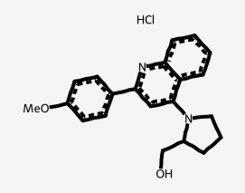 COc1ccc(-c2cc(N3CCCC3CO)c3ccccc3n2)cc1.Cl